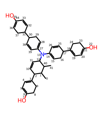 CC1C(C2=CC=C(O)CC2)C=CC(N(C2=CCC(C3=CC=C(O)CC3)C=C2)C2=CCC(C3C=CC(O)=CC3)C=C2)C1C